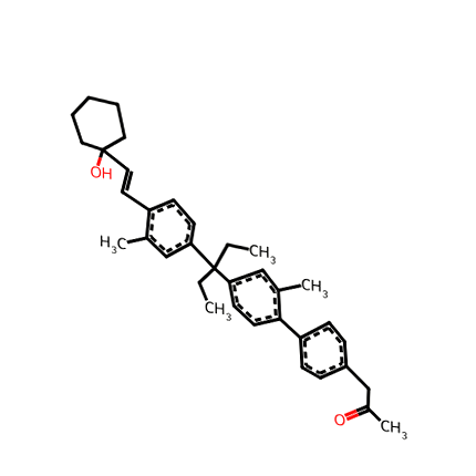 CCC(CC)(c1ccc(/C=C/C2(O)CCCCC2)c(C)c1)c1ccc(-c2ccc(CC(C)=O)cc2)c(C)c1